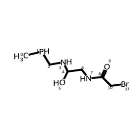 CPCNC(O)CNC(=O)CBr